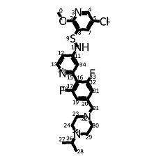 COc1ncc(Cl)cc1SNc1ccnc(-c2c(F)cc(CN3CCN(C(C)C)CC3)cc2F)c1